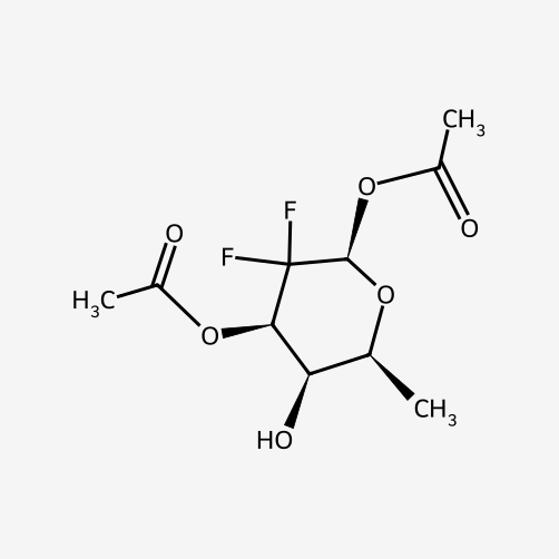 CC(=O)O[C@H]1O[C@@H](C)[C@@H](O)[C@@H](OC(C)=O)C1(F)F